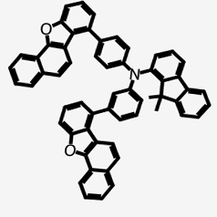 CC1(C)c2ccccc2-c2cccc(N(c3ccc(-c4cccc5oc6c7ccccc7ccc6c45)cc3)c3cccc(-c4cccc5oc6c7ccccc7ccc6c45)c3)c21